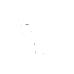 CN(/N=C/c1ccc(C=O)cc1)[Si](C)(C)C